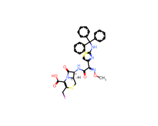 CO/N=C(\C(=O)N[C@@H]1C(=O)N2C(C(=O)O)=C(CI)SC[C@H]12)c1csc(NC(c2ccccc2)(c2ccccc2)c2ccccc2)n1